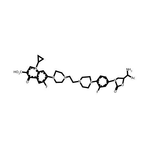 CC(=O)C(N)C1CN(c2ccc(N3CCN(CCN4CCN(c5cc6c(cc5F)c(=O)c(C(=O)O)cn6C5CC5)CC4)CC3)c(F)c2)C(=O)O1